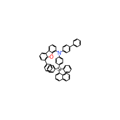 c1ccc(-c2ccc(N(c3ccc([Si](c4ccccc4)(c4ccccc4)c4cccc5ccccc45)cc3)c3cccc4c3oc3c(-c5ccccc5)cccc34)cc2)cc1